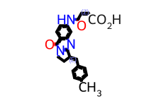 Cc1ccc(/C=C2\CCn3c2nc2cc(NC(=O)/C=C\C(=O)O)ccc2c3=O)cc1